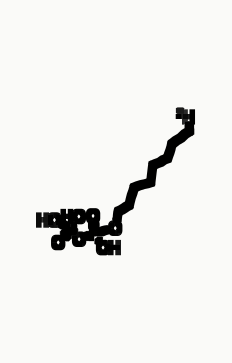 [2H]CCCCCCCCOP(=O)(O)OP(=O)(O)O